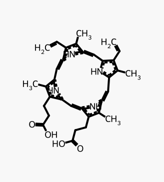 C=Cc1c2[nH]c(c1C)/C=c1\[nH]/c(c(CCC(=O)O)c1C)=C\c1[nH]c(c(C)c1CCC(=O)O)/C=c1\[nH]/c(c(C)c1C=C)=C\2